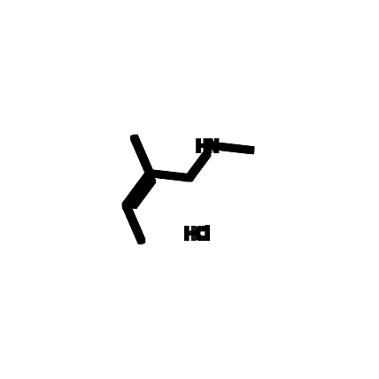 CC=C(C)CNC.Cl